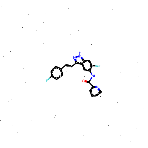 O=C(Nc1cc2c(/C=C/c3ccc(F)cc3)n[nH]c2cc1F)c1ccccn1